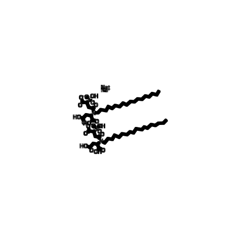 CCCCCCCCCCCCCCCCCCN(C(=O)CC(C(=O)[O-])S(=O)(=O)O)C(CC(=O)O)C(=O)O.CCCCCCCCCCCCCCCCCCN(C(=O)CC(C(=O)[O-])S(=O)(=O)O)C(CC(=O)O)C(=O)O.[Na+].[Na+]